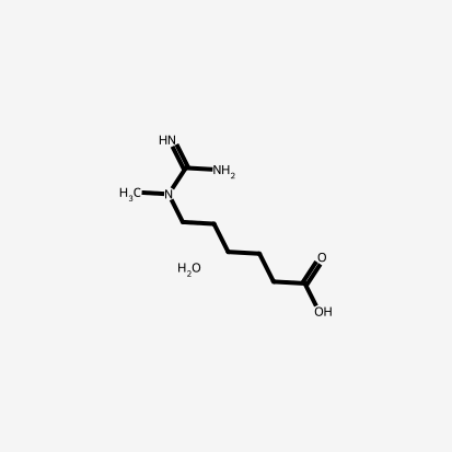 CN(CCCCCC(=O)O)C(=N)N.O